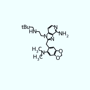 CN(C)c1cc2c(cc1Cc1nc3c(N)nccc3n1CCNCC(C)(C)C)OCO2